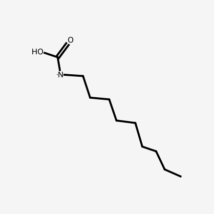 CCCCCCCCC[N]C(=O)O